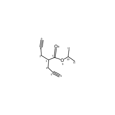 C#CCC(CC#C)C(=O)OC(C)C